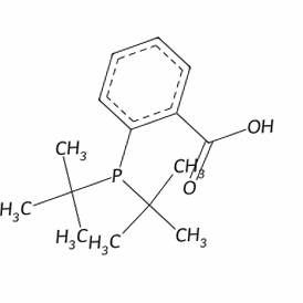 CC(C)(C)P(c1ccccc1C(=O)O)C(C)(C)C